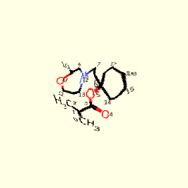 CC(C)C(=O)OC1(CN2CCOCC2)CCCC1